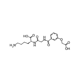 NCCCC[C@H](NC(=O)CNC(=O)c1cccc(OCC(=O)O)c1)C(=O)O